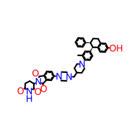 Cc1cc([C@@H]2c3ccc(O)cc3CC[C@@H]2c2ccccc2)ccc1N1CCC(CN2CCN(c3ccc4c(c3)C(=O)N(C3CCC(=O)NC3=O)C4=O)CC2)CC1